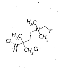 CC(C)(CC[N+](C)(C)CF)NCl.[Cl-]